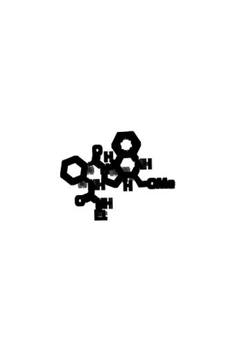 CCNC(=O)N[C@@H]1CCCC[C@@H]1C(=O)N1CC[C@H]2[C@H](COC)Nc3ccccc3[C@@H]21